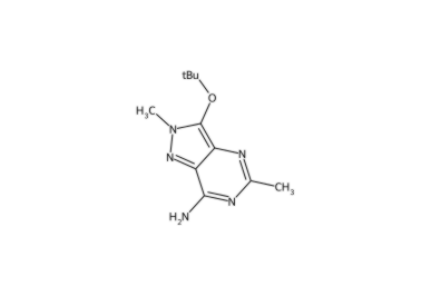 Cc1nc(N)c2nn(C)c(OC(C)(C)C)c2n1